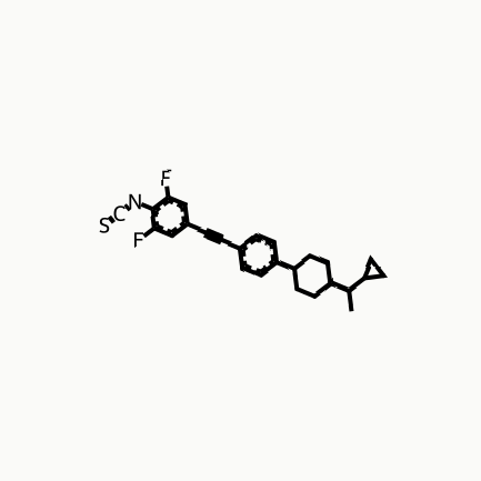 CC(C1CCC(c2ccc(C#Cc3cc(F)c(N=C=S)c(F)c3)cc2)CC1)C1CC1